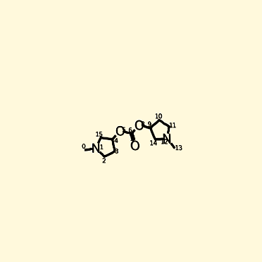 CN1CCC(OC(=O)OC2CCN(C)C2)C1